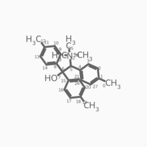 Cc1ccc(C(C(O)(c2ccc(C)cc2)c2ccc(C)cc2)[N+](C)(C)C)cc1